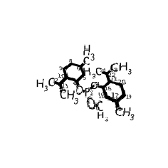 COP(OC1CC(C)CCC1C(C)C)OC1CC(C)CCC1C(C)C